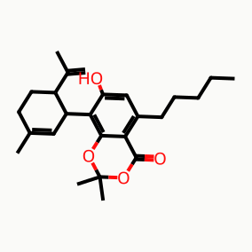 C=C(C)C1CCC(C)=CC1c1c(O)cc(CCCCC)c2c1OC(C)(C)OC2=O